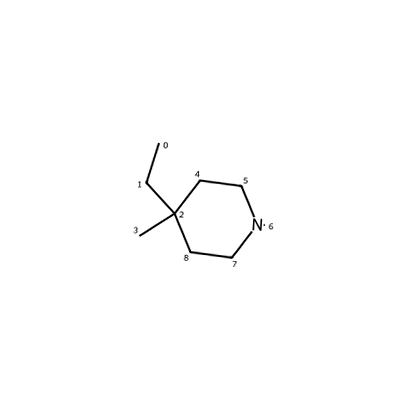 CCC1(C)CC[N]CC1